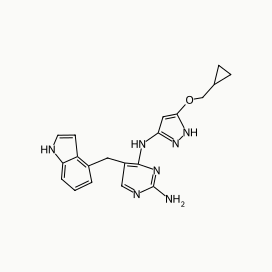 Nc1ncc(Cc2cccc3[nH]ccc23)c(Nc2cc(OCC3CC3)[nH]n2)n1